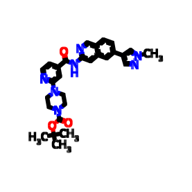 Cn1cc(-c2ccc3cnc(NC(=O)c4ccnc(N5CCN(C(=O)OC(C)(C)C)CC5)c4)cc3c2)cn1